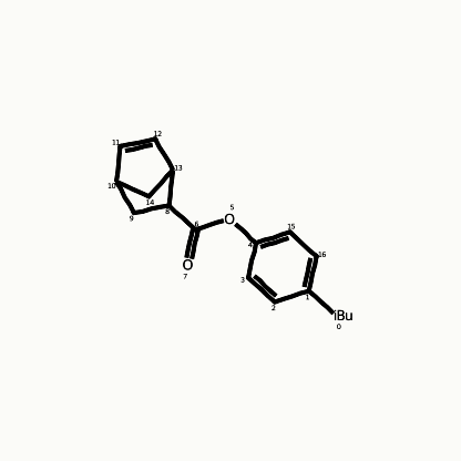 CCC(C)c1ccc(OC(=O)C2CC3C=CC2C3)cc1